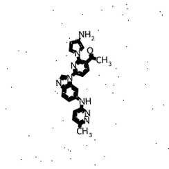 CC(=O)c1ccc(-n2cnc3ccc(Nc4ccc(C)nn4)cc32)nc1N1CC[C@@H](N)C1